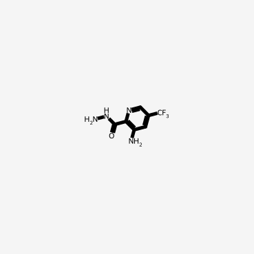 NNC(=O)c1ncc(C(F)(F)F)cc1N